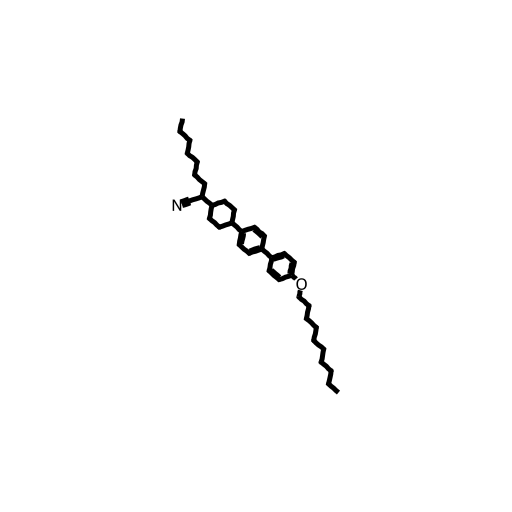 CCCCCCCCCCOc1ccc(-c2ccc(C3CCC(C(C#N)CCCCCCC)CC3)cc2)cc1